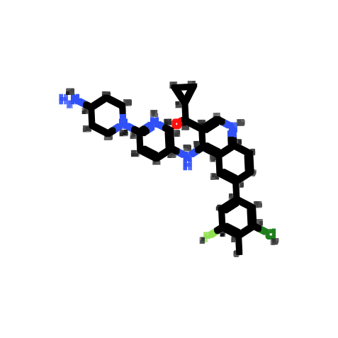 Cc1c(F)cc(-c2ccc3ncc(C(=O)C4CC4)c(Nc4ccc(N5CCC(N)CC5)nc4)c3c2)cc1Cl